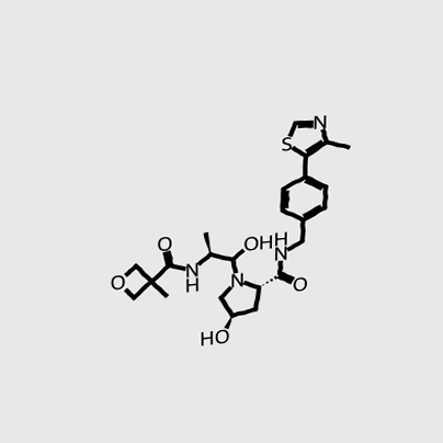 Cc1ncsc1-c1ccc(CNC(=O)[C@@H]2C[C@@H](O)CN2C(O)[C@H](C)NC(=O)C2(C)COC2)cc1